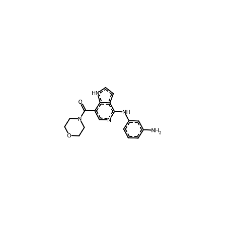 Nc1cccc(Nc2ncc(C(=O)N3CCOCC3)c3[nH]ccc23)c1